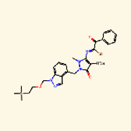 CNc1c(/N=C(\S)C(=O)c2ccccc2)n(C)n(Cc2cccc3c2cnn3COCC[Si](C)(C)C)c1=O